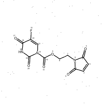 O=C1C=CC(=O)N1CCOC(=O)n1cc(F)c(=O)[nH]c1=O